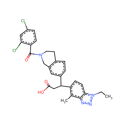 CCn1nnc2c(C)c(C(CC(=O)O)c3ccc4c(c3)CN(C(=O)c3ccc(Cl)cc3Cl)CC4)ccc21